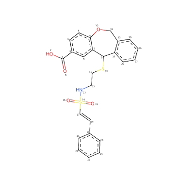 O=C(O)c1ccc2c(c1)C(SCCNS(=O)(=O)C=Cc1ccccc1)c1ccccc1CO2